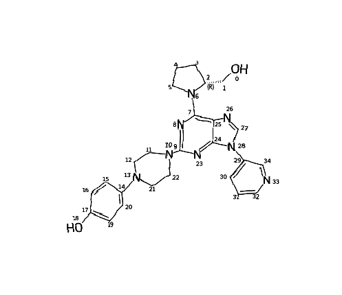 OC[C@H]1CCCN1c1nc(N2CCN(c3ccc(O)cc3)CC2)nc2c1ncn2-c1cccnc1